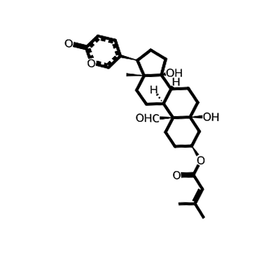 CC(C)=CC(=O)O[C@H]1CC[C@]2(C=O)[C@H]3CC[C@]4(C)[C@@H](c5ccc(=O)oc5)CC[C@]4(O)[C@@H]3CC[C@]2(O)C1